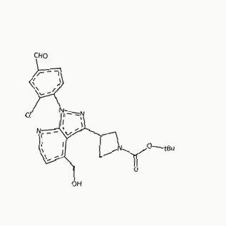 CC(C)(C)OC(=O)N1CC(c2nn(-c3ccc(C=O)cc3Cl)c3nccc(CO)c23)C1